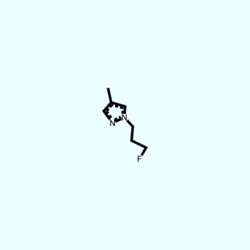 Cc1cnn(CCCF)c1